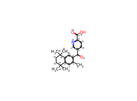 Cc1cc2c(cc1C(=O)c1ccc(C(=O)O)nc1)C(C)(C)CCC2(C)C